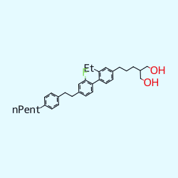 CCCCCc1ccc(CCc2ccc(-c3ccc(CCCC(CO)CO)cc3CC)c(F)c2)cc1